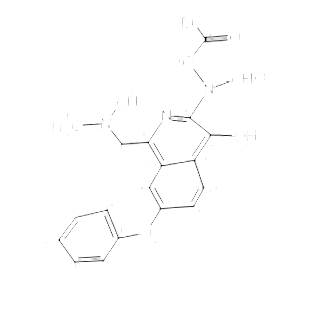 CCC(=O)ON(C=O)c1nc(CN(C)C)c2cc(Oc3ccccc3)ccc2c1O